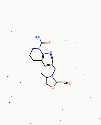 CC1COC(=C=O)N1Cc1cnc2c(c1)CCCN2C(N)=O